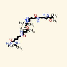 CC(C)NC(CCCCNC(=O)CCC(C)(C)OCC(C)(C)n1cc(CCC(=O)NCCCCC(N)C(=O)C(C)C)nn1)C(N)=O